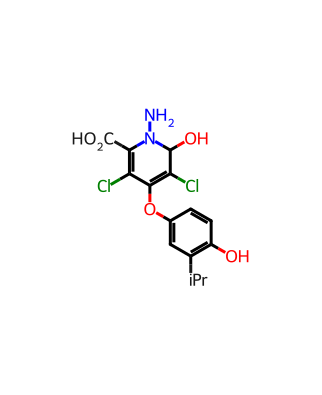 CC(C)c1cc(OC2=C(Cl)C(O)N(N)C(C(=O)O)=C2Cl)ccc1O